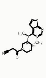 C[C@@H]1CCN(C(=O)CC#N)C[C@@H]1N(C)c1ncnc2sccc12